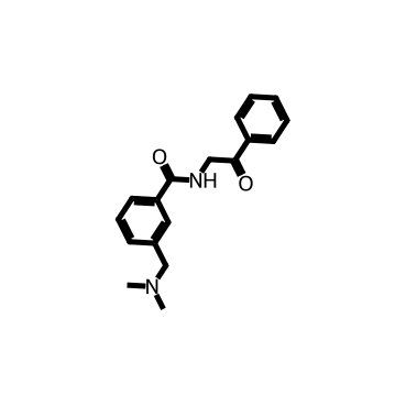 CN(C)Cc1cccc(C(=O)NCC(=O)c2ccccc2)c1